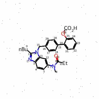 CCCCc1nc2ccc(N(C)C(=O)CC)cc2n1Cc1ccc(-c2ccccc2OC(=O)O)cc1